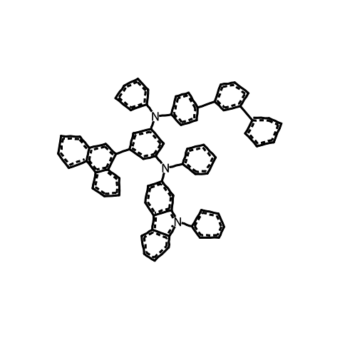 c1ccc(-c2cccc(-c3ccc(N(c4ccccc4)c4cc(-c5cc6ccccc6c6ccccc56)cc(N(c5ccccc5)c5ccc6c7ccccc7n(-c7ccccc7)c6c5)c4)cc3)c2)cc1